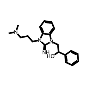 CN(C)CCCn1c(=N)n(CC(O)c2ccccc2)c2ccccc21